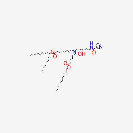 CCCCCCCCCCCOC(=O)CCCCCN(CCCCCCCC(=O)OC(CCCCCCCC)CCCCCCCC)CC(O)CCCCNC(=O)c1cccnc1